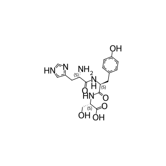 N[C@@H](Cc1c[nH]cn1)C(=O)N[C@@H](Cc1ccc(O)cc1)C(=O)N[C@@H](CO)C(=O)O